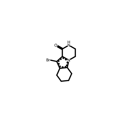 O=C1NCCn2c3c(c(Br)c21)CCCC3